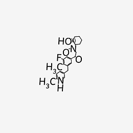 CC1=CC=C(Cc2cc3c(c(F)c2C)OCN(C2CCCC[C@@H]2O)CC3=O)CN1